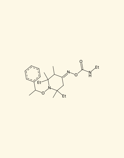 CCNC(=O)ON=C1CC(C)(CC)N(OC(C)c2ccccc2)C(C)(CC)C1C